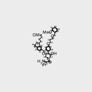 COCCCN1CC(C)(C)c2ccc(COC3CN(C(=O)C(N)C(C)C)CC(O)C3c3ccc(OCCCOCc4ccccc4OC)cc3)cc21